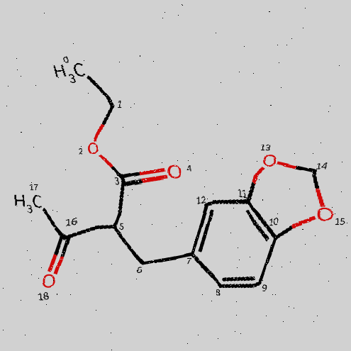 CCOC(=O)C(Cc1ccc2c(c1)OCO2)C(C)=O